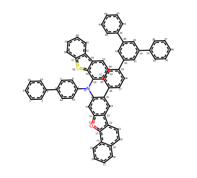 c1ccc(-c2ccc(N(c3cc4oc5c6ccccc6ccc5c4cc3-c3ccc(-c4cc(-c5ccccc5)cc(-c5ccccc5)c4)cc3)c3cccc4c3sc3ccccc34)cc2)cc1